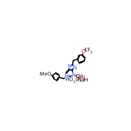 COc1ccc(CN2C=C3N=C(Cc4cccc(OC(F)(F)F)c4)N=C3N(C)C2)cc1.O=S(=O)(O)O.[NaH]